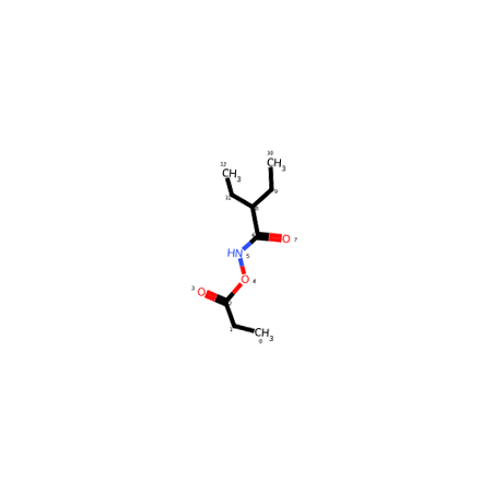 CCC(=O)ONC(=O)C(CC)CC